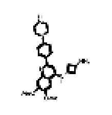 COc1cc2nc(-c3ccc(N4CCNCC4)cc3)cc(N[C@H]3C[C@H](N)C3)c2cc1OC